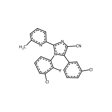 Cc1cccc(-c2nc(C#N)c(-c3cccc(Cl)c3)n2-c2cccc(Cl)c2F)n1